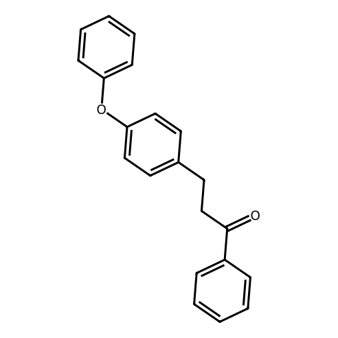 O=C(CCc1ccc(Oc2ccccc2)cc1)c1ccccc1